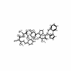 CC[C@H](C)[C@@H]([C@@H](CC(=O)N1CCCC1[C@H](OC)[C@@H](C)C(=O)N[C@@H](Cc1ccccc1)c1nccs1)OC)N(C)C(=O)C(NC(=O)C(C(C)C)N(C)CCN1CCNCC1)C(C)C